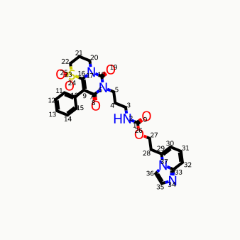 O=C(NCCCn1c(=O)c(-c2ccccc2)c2n(c1=O)CCCS2(=O)=O)OCCc1cccc2nccn12